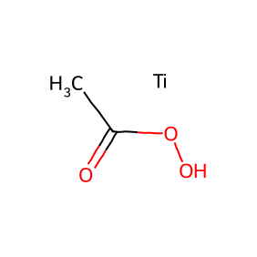 CC(=O)OO.[Ti]